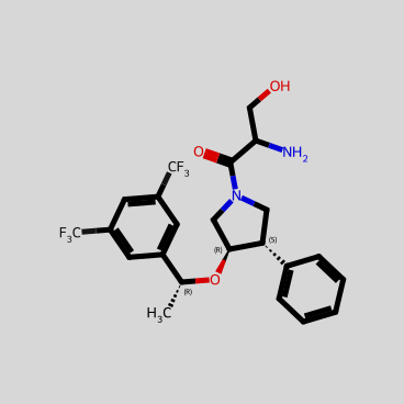 C[C@@H](O[C@H]1CN(C(=O)C(N)CO)C[C@@H]1c1ccccc1)c1cc(C(F)(F)F)cc(C(F)(F)F)c1